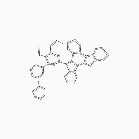 C=Nc1c(/C=C\C)nc(-n2c3ccccc3c3c4sc5ccccc5c4c4ccccc4c32)nc1-c1cccc(-c2ccccc2)c1